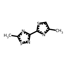 Cc1csc(-c2nsc(C)n2)n1